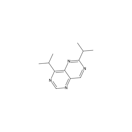 CC(C)c1ncc2ncnc(C(C)C)c2n1